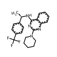 C[C@@H](Nc1nc(N2CCCCC2)nc2ccccc12)c1ccc(C(F)(F)F)cc1